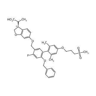 Cc1cc(OCCCS(C)(=O)=O)cc(C)c1-c1cc(COc2ccc3c(c2)OC[C@H]3C(C)C(=O)O)c(F)cc1OCc1ccccc1